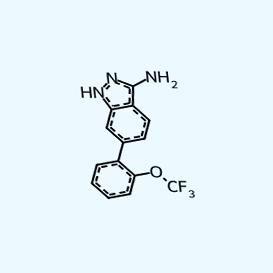 Nc1n[nH]c2cc(-c3ccccc3OC(F)(F)F)ccc12